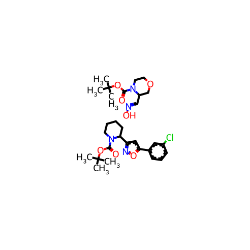 CC(C)(C)OC(=O)N1CCCCC1c1cc(-c2cccc(Cl)c2)on1.CC(C)(C)OC(=O)N1CCOCC1C=NO